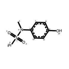 CC(C)S(=O)(=O)N(C)c1ccc(O)cc1